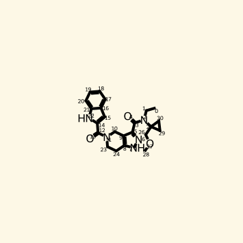 CCN(C(=O)c1n[nH]c2c1CN(C(=O)c1cc3ccccc3[nH]1)CC2)C1(COC)CC1